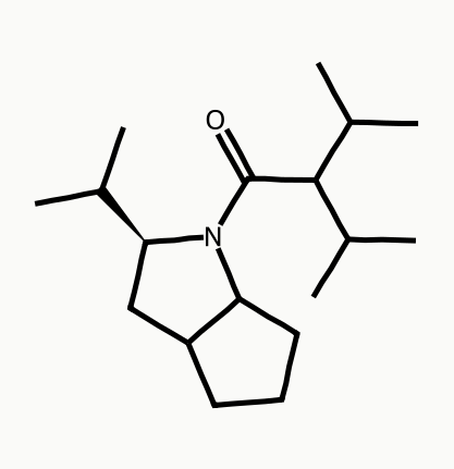 CC(C)C(C(=O)N1C2CCCC2C[C@H]1C(C)C)C(C)C